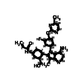 C=CC(=O)Nc1ccc(-c2c(C)c3ncnc(N)c3n2-c2ccc(Oc3nccc(C)n3)c(F)c2)c(CO)c1